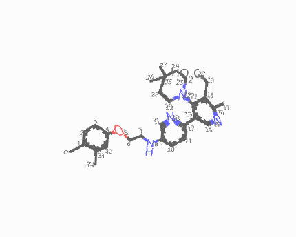 Cc1ccc(OCCNc2ccc(-c3cnc(C)c(CC(=O)O)c3N3CCC(C)(C)CC3)nc2)cc1C